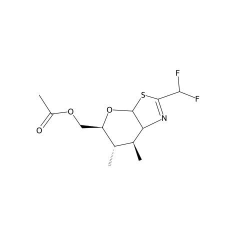 CC(=O)OC[C@H]1OC2SC(C(F)F)=NC2[C@@H](C)[C@@H]1C